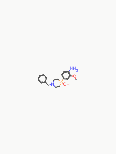 COc1cc([P]2(O)CCN(Cc3ccccc3)CC2)ccc1N